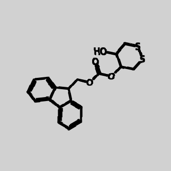 O=C(OCC1c2ccccc2-c2ccccc21)OC1CSSCC1O